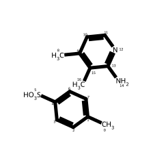 Cc1ccc(S(=O)(=O)O)cc1.Cc1ccnc(N)c1C